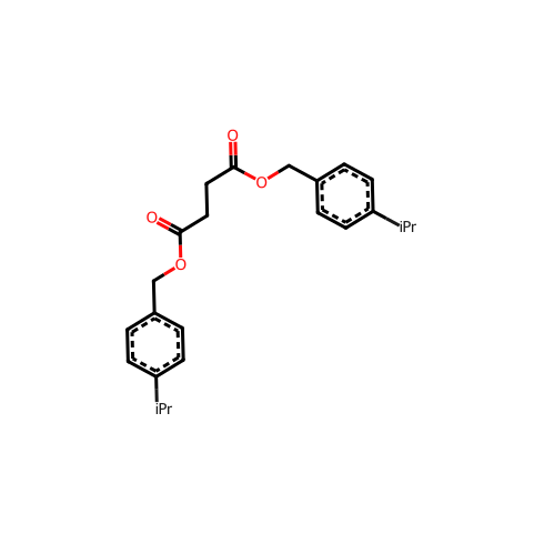 CC(C)c1ccc(COC(=O)CCC(=O)OCc2ccc(C(C)C)cc2)cc1